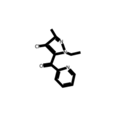 CCn1nc(C)c(Cl)c1C(=O)c1ccccn1